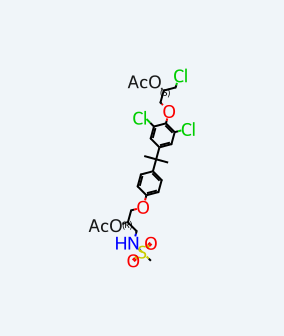 CC(=O)O[C@H](CNS(C)(=O)=O)COc1ccc(C(C)(C)c2cc(Cl)c(OC[C@@H](CCl)OC(C)=O)c(Cl)c2)cc1